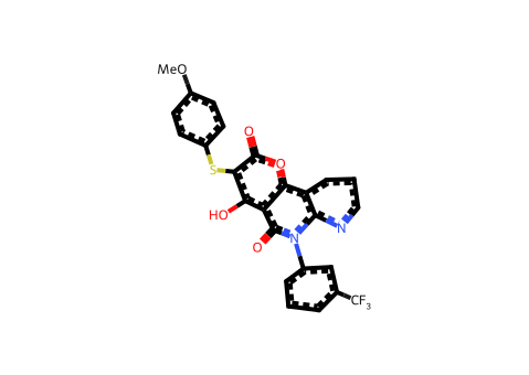 COc1ccc(Sc2c(O)c3c(=O)n(-c4cccc(C(F)(F)F)c4)c4ncccc4c3oc2=O)cc1